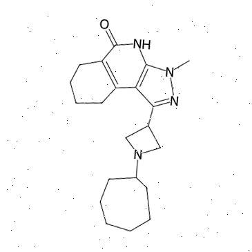 Cn1nc(C2CN(C3CCCCCC3)C2)c2c3c(c(=O)[nH]c21)CCCC3